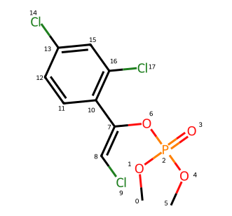 COP(=O)(OC)OC(=CCl)c1ccc(Cl)cc1Cl